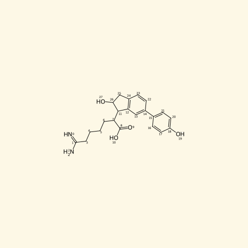 N=C(N)CCCCC(C(=O)O)C1c2cc(-c3ccc(O)cc3)ccc2CC1O